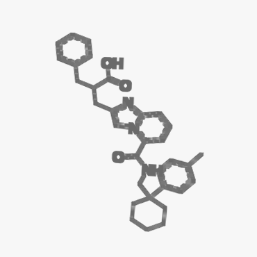 Cc1ccc(C2(CNC(=O)c3cccc4nc(CC(Cc5ccccc5)C(=O)O)cn34)CCCCC2)cc1